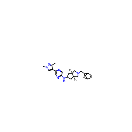 Cc1nn(C)cc1-c1cnc(NC2C[C@@H]3CN(CC4CC5C=CC4C5)C[C@@H]3C2)cn1